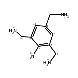 NCc1cc(CN)c(N)c(CN)c1